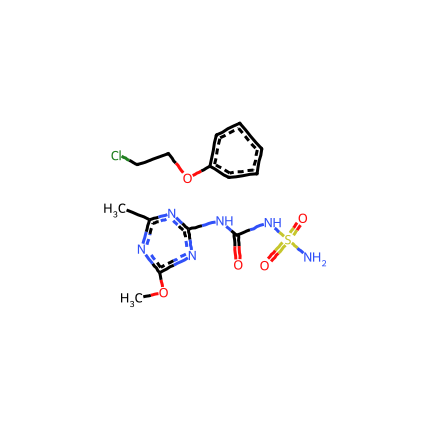 COc1nc(C)nc(NC(=O)NS(N)(=O)=O)n1.ClCCOc1ccccc1